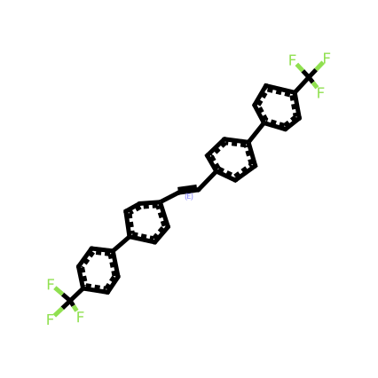 FC(F)(F)c1ccc(-c2ccc(/C=C/c3ccc(-c4ccc(C(F)(F)F)cc4)cc3)cc2)cc1